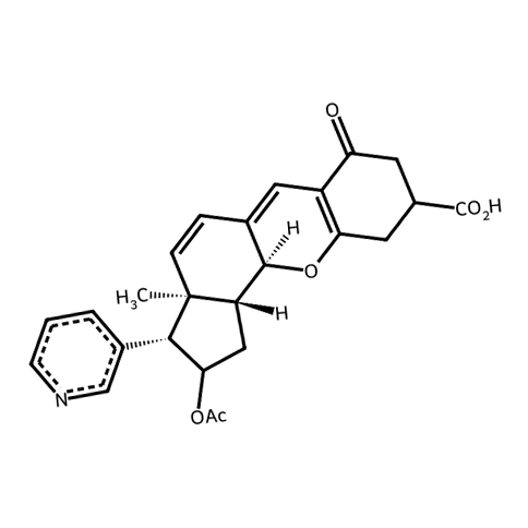 CC(=O)OC1C[C@H]2[C@@H]3OC4=C(C=C3C=C[C@]2(C)[C@H]1c1cccnc1)C(=O)CC(C(=O)O)C4